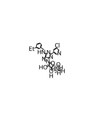 [2H]C([2H])([2H])NC(=O)[C@H]1O[C@@H](n2cnc3c(NCc4cccc(CC)c4)nc(-c4cncc(Cl)c4)nc32)[C@H](O)[C@@H]1O